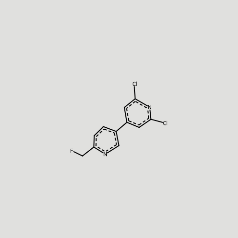 FCc1ccc(-c2cc(Cl)nc(Cl)c2)cn1